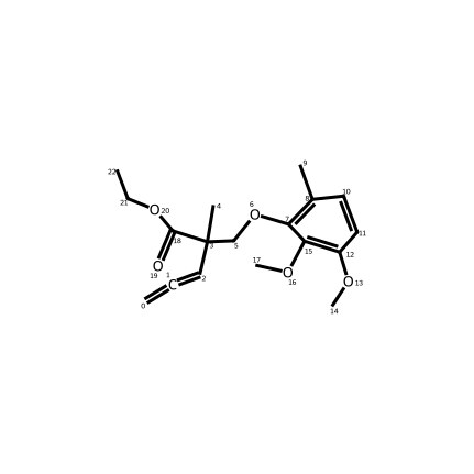 C=C=CC(C)(COc1c(C)ccc(OC)c1OC)C(=O)OCC